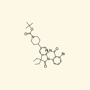 CCC1(CC)C(=O)N(c2cccc(Br)c2C(N)=O)c2ccc(C3CCN(C(=O)OC(C)(C)C)CC3)cc21